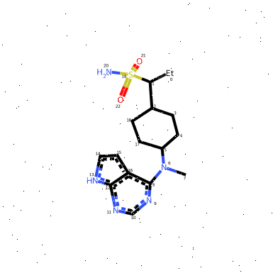 CCC(C1CCC(N(C)c2ncnc3[nH]ccc23)CC1)S(N)(=O)=O